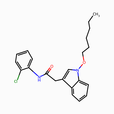 CCCCCCOn1cc(CC(=O)Nc2ccccc2Cl)c2ccccc21